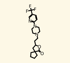 O=C1OC(CCN2CCN(c3ccc(C(F)(F)F)cn3)CC2)CC12CCCC2